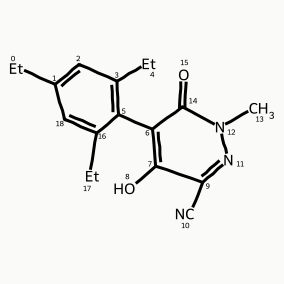 CCc1cc(CC)c(-c2c(O)c(C#N)nn(C)c2=O)c(CC)c1